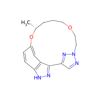 C[C@@H]1CCCOCCn2ncc(n2)-c2n[nH]c3ccc(cc23)O1